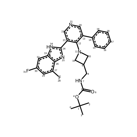 CC(C)(C)OC(=O)NCC1CN(c2c(-c3ccccc3)cncc2-c2nc3c(F)cc(F)cc3[nH]2)C1